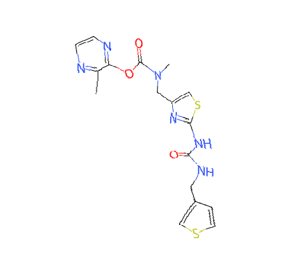 Cc1nccnc1OC(=O)N(C)Cc1csc(NC(=O)NCc2ccsc2)n1